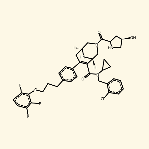 O=C(C1C[C@@H](O)CN1)N1C[C@@H]2CC(c3ccc(CCCOc4c(F)ccc(F)c4F)cc3)=C(C(=O)N(Cc3ccccc3Cl)C3CC3)[C@@H](C1)N2